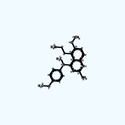 COc1ccc(N(C)c2nc(N)nc3ccc(OC)c(CCN)c23)cc1